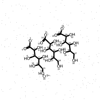 O=C([O-])C(O)C(O)C(O)C(O)CO.O=C([O-])C(O)C(O)C(O)C(O)CO.O=C([O-])C(O)C(O)C(O)C(O)CO.[Cr+3]